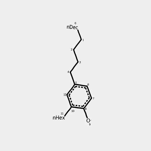 CCCCCCCCCCCCCCc1ccc([O])c(CCCCCC)c1